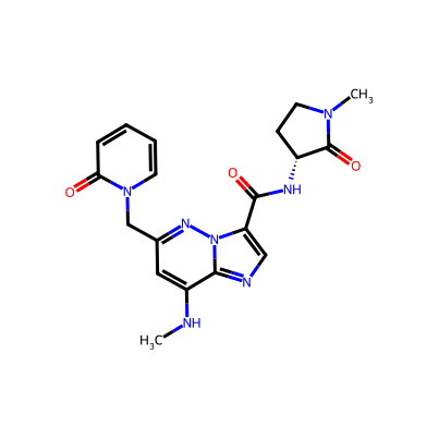 CNc1cc(Cn2ccccc2=O)nn2c(C(=O)N[C@@H]3CCN(C)C3=O)cnc12